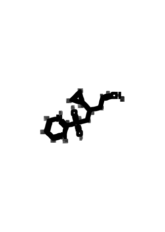 C=CCC(CS(=O)(=O)c1ncccn1)C1CC1